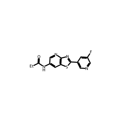 CCC(=O)Nc1cnc2nc(-c3cncc(F)c3)sc2c1